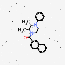 C[C@H]1[C@H](C)N(c2ccccc2)CCN1C(=O)c1ccc2ccccc2c1